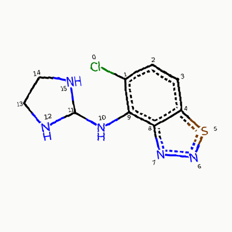 Clc1ccc2snnc2c1NC1NCCN1